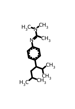 C/C(=N\c1ccc(C(CC(C)C)C(C)C)cc1)N(C)C